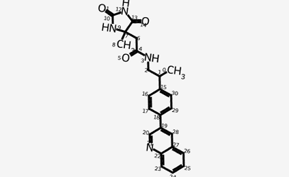 CC(CNC(=O)CC1(C)NC(=O)NC1=O)c1ccc(-c2cnc3ccccc3c2)cc1